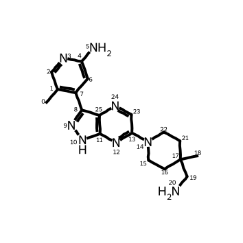 Cc1cnc(N)cc1-c1n[nH]c2nc(N3CCC(C)(CN)CC3)cnc12